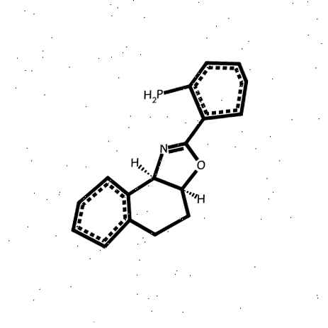 Pc1ccccc1C1=N[C@@H]2c3ccccc3CC[C@@H]2O1